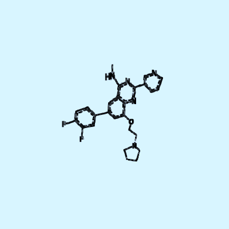 CNc1nc(-c2cccnc2)nc2c(OCCN3CCCC3)cc(-c3ccc(F)c(F)c3)cc12